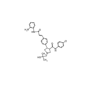 CC(C)(O)CN1CC(C(=O)Nc2ccc(Cl)cc2)C(c2ccc(/C=C/C(=O)Nc3ccccc3N)cc2)C1